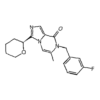 Cc1cn2c([C@@H]3CCCCO3)ncc2c(=O)n1Cc1cccc(F)c1